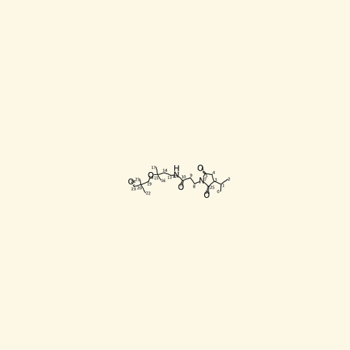 CC(C)C1CC(=O)N(CCC(=O)NCCC(C)(C)OCC(C)(C)C=O)C1=O